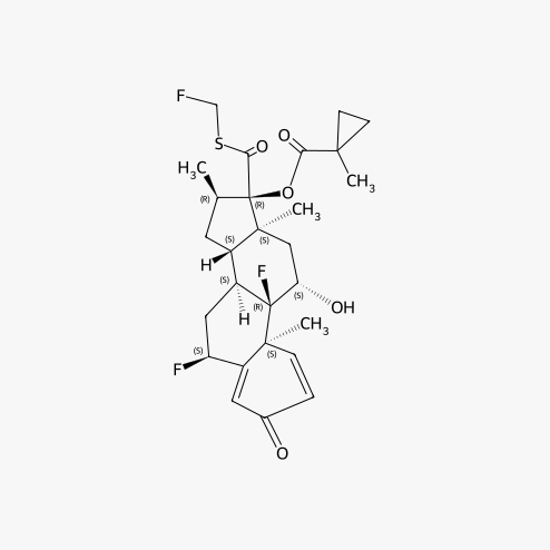 C[C@@H]1C[C@H]2[C@@H]3C[C@H](F)C4=CC(=O)C=C[C@]4(C)[C@@]3(F)[C@@H](O)C[C@]2(C)[C@@]1(OC(=O)C1(C)CC1)C(=O)SCF